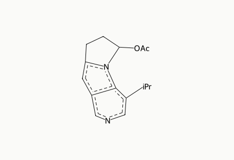 CC(=O)OC1CCc2cc3cncc(C(C)C)c3n21